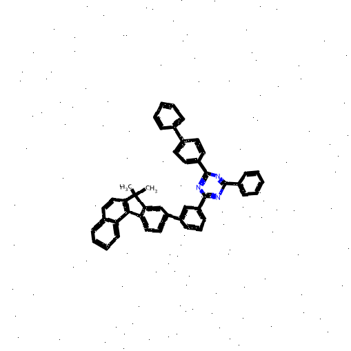 CC1(C)c2cc(-c3cccc(-c4nc(-c5ccccc5)nc(-c5ccc(-c6ccccc6)cc5)n4)c3)ccc2-c2c1ccc1ccccc21